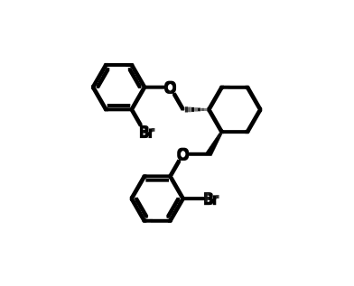 Brc1ccccc1OC[C@@H]1CCCC[C@H]1COc1ccccc1Br